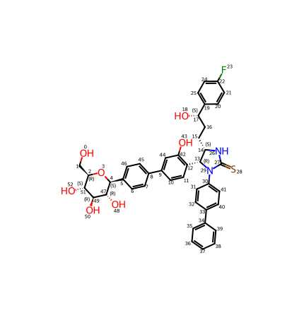 OC[C@H]1O[C@@H](c2ccc(-c3ccc([C@@H]4[C@H](CC[C@H](O)c5ccc(F)cc5)NC(=S)N4c4ccc(-c5ccccc5)cc4)c(O)c3)cc2)[C@H](O)[C@@H](O)[C@@H]1O